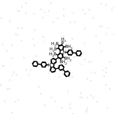 Bc1c(B)c(B)c2c(c1B)c1c(B)c(-c3ccc4c(c3)c3c(-c5cccc(-c6ccccc6)c5)cccc3n4-c3ccc(-c4ccccc4)cc3)c(B)c(B)c1n2-c1ccc(-c2ccccc2)cc1